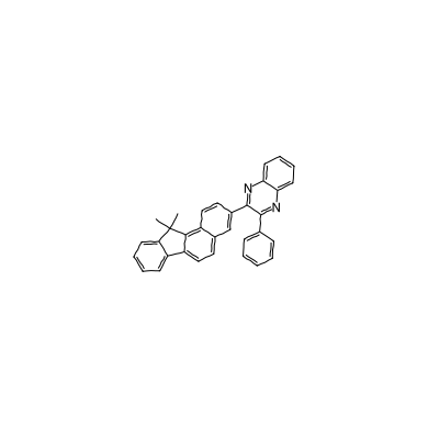 CC1(C)c2ccccc2-c2ccc3cc(-c4nc5ccccc5nc4-c4ccccc4)ccc3c21